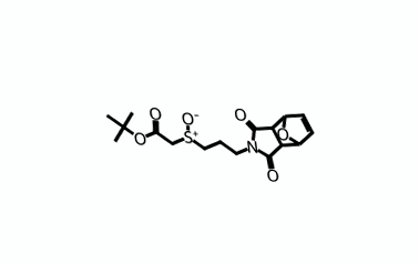 CC(C)(C)OC(=O)C[S+]([O-])CCCN1C(=O)C2C3C=CC(O3)C2C1=O